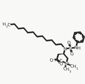 CCCCCCCCCCCCN([C@H](CC(=O)[O-])C[N+](C)(C)C)S(=O)(=O)Nc1ccccc1